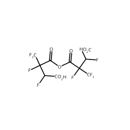 O=C(O)C(F)C(F)(C(=O)OC(=O)C(F)(C(F)C(=O)O)C(F)(F)F)C(F)(F)F